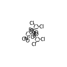 O=[N+]([O-])c1ccc(Br)c(N(S(=O)(=O)c2cc(Cl)cc(Cl)c2)S(=O)(=O)c2cc(Cl)cc(Cl)c2)c1